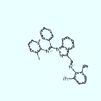 Cc1cccc(C)c1/N=C(\c1ccccc1)n1nc(/C=N/c2c(C(C)C)cccc2C(C)C)c2ccccc21